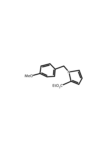 CCOC(=O)c1cccn1Cc1ccc(OC)cc1